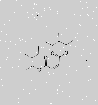 CCC(C)C(C)OC(=O)/C=C\C(=O)OC(C)C(C)CC